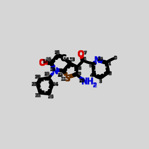 Cc1cccc(C(=O)c2c(N)sc3c2ccc(=O)n3-c2ccccc2)n1